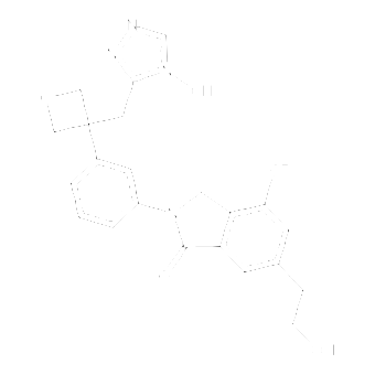 Cn1cnnc1CC1(c2cccc(N3Cc4c(cc(CCO)cc4C(F)(F)F)C3=O)c2)COC1